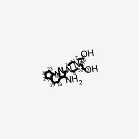 Nc1c(N2CC[N+](CCO)(CCO)CC2)nn2c1CCC1CCCC12